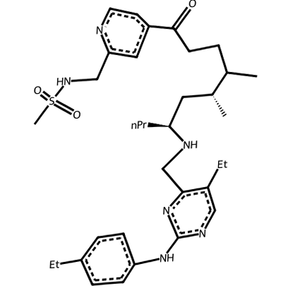 CCC[C@@H](C[C@@H](C)C(C)CCC(=O)c1ccnc(CNS(C)(=O)=O)c1)NCc1nc(Nc2ccc(CC)cc2)ncc1CC